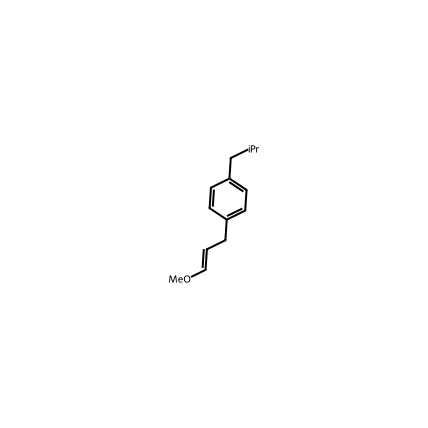 COC=CCc1ccc(CC(C)C)cc1